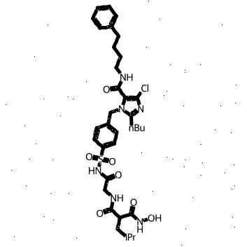 CCCCc1nc(Cl)c(C(=O)NCCCCc2ccccc2)n1Cc1ccc(S(=O)(=O)NC(=O)CNC(=O)C(CC(C)C)C(=O)NO)cc1